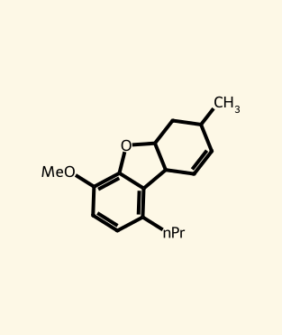 CCCc1ccc(OC)c2c1C1C=CC(C)CC1O2